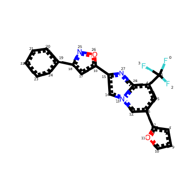 FC(F)(F)c1cc(-c2ccco2)cn2cc(-c3cc(-c4ccccc4)no3)nc12